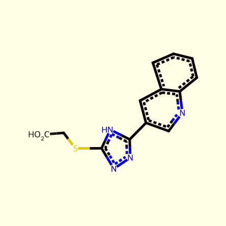 O=C(O)CSc1nnc(-c2cnc3ccccc3c2)[nH]1